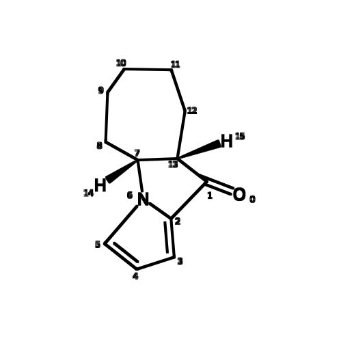 O=C1c2cccn2[C@@H]2CCCCC[C@H]12